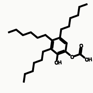 CCCCCCc1cc(OC(=O)O)c(O)c(CCCCCC)c1CCCCCC